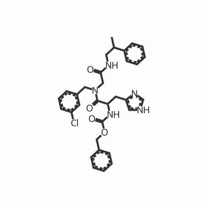 CC(CNC(=O)CN(Cc1cccc(Cl)c1)C(=O)C(Cc1c[nH]cn1)NC(=O)OCc1ccccc1)c1ccccc1